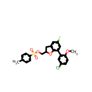 COc1ccc(Cl)cc1-c1cc(F)cc2c1OC(COS(=O)(=O)c1ccc(C)cc1)C2